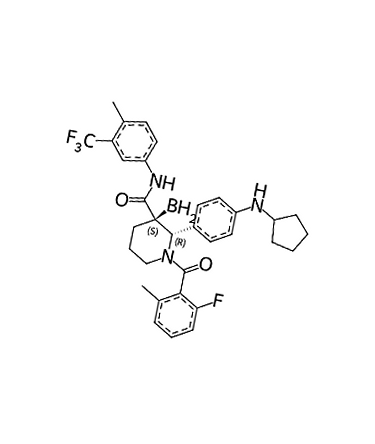 B[C@]1(C(=O)Nc2ccc(C)c(C(F)(F)F)c2)CCCN(C(=O)c2c(C)cccc2F)[C@H]1c1ccc(NC2CCCC2)cc1